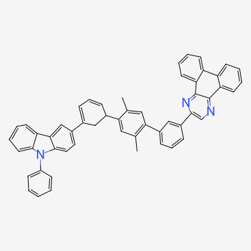 Cc1cc(C2C=CC=C(c3ccc4c(c3)c3ccccc3n4-c3ccccc3)C2)c(C)cc1-c1cccc(-c2cnc3c4ccccc4c4ccccc4c3n2)c1